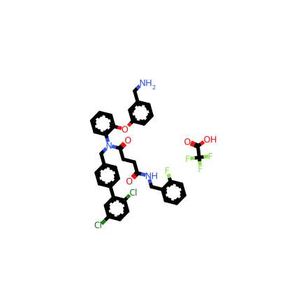 NCc1cccc(Oc2ccccc2N(Cc2ccc(-c3cc(Cl)ccc3Cl)cc2)C(=O)CCC(=O)NCc2ccccc2F)c1.O=C(O)C(F)(F)F